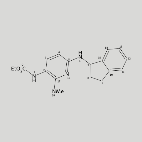 CCOC(=O)Nc1ccc(NC2CCc3ccccc32)nc1NC